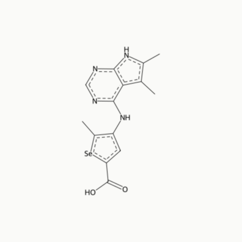 Cc1[nH]c2ncnc(Nc3cc(C(=O)O)[se]c3C)c2c1C